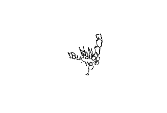 CC(C)(C)[C]([CH]CCn1cc(C(=O)COc2cc3ccc(Cl)cc3cc2C(N)=O)c2ccc(C3CC3)cc21)C(C)(C)C